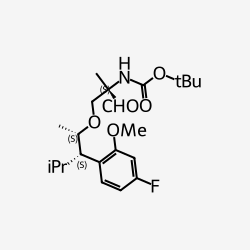 COc1cc(F)ccc1[C@H](C(C)C)[C@H](C)OC[C@@](C)(C=O)NC(=O)OC(C)(C)C